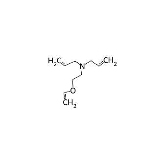 C=CCN(CC=C)CCOC=C